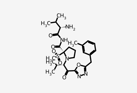 Cc1cccc(Cc2nnc(C(=O)[C@H](C(C)C)N3CCC[C@]3(C(=O)NC(=O)[C@@H](N)C(C)C)S(C)(=O)=O)o2)c1